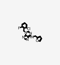 Fc1cccc(Cl)c1Cn1cnc(NCc2ccco2)c2ncnc1-2